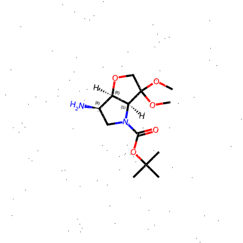 COC1(OC)CO[C@@H]2[C@H](N)CN(C(=O)OC(C)(C)C)[C@@H]21